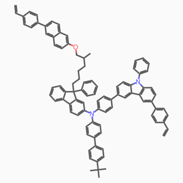 C=Cc1ccc(-c2ccc3cc(OCC(C)CCCCC4(c5ccccc5)c5ccccc5-c5ccc(N(c6ccc(-c7ccc(C(C)(C)C)cc7)cc6)c6ccc(-c7ccc8c(c7)c7cc(-c9ccc(C=C)cc9)ccc7n8-c7ccccc7)cc6)cc54)ccc3c2)cc1